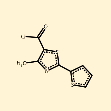 Cc1nc(-c2cccs2)sc1C(=O)Cl